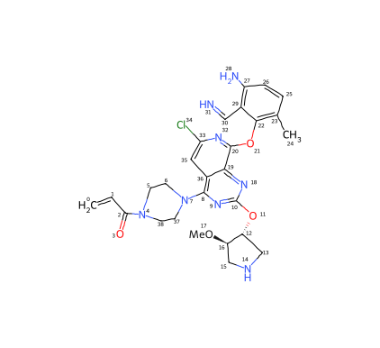 C=CC(=O)N1CCN(c2nc(O[C@@H]3CNC[C@H]3OC)nc3c(Oc4c(C)ccc(N)c4C=N)nc(Cl)cc23)CC1